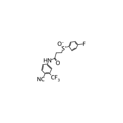 N#Cc1ccc(NC(=O)CC[S+]([O-])c2ccc(F)cc2)cc1C(F)(F)F